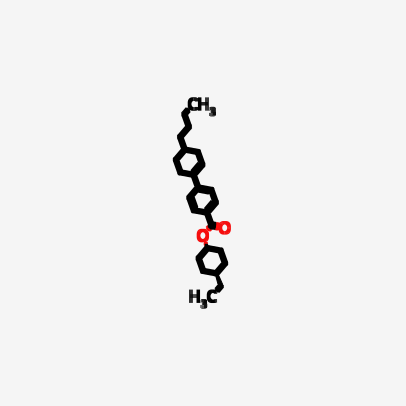 CCCCC1CC=C(c2ccc(C(=O)O[C@H]3CC[C@H](CC)CC3)cc2)CC1